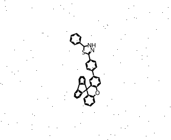 c1ccc(C2NN=C(c3ccc(-c4ccc5c(c4)C4(c6ccccc6O5)c5ccccc5-c5ccccc54)cc3)S2)cc1